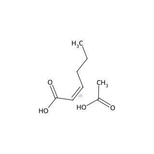 CC(=O)O.CCC/C=C\C(=O)O